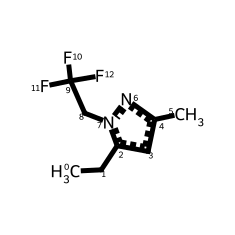 CCc1cc(C)nn1CC(F)(F)F